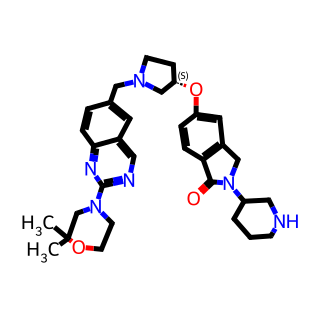 CC1(C)CN(c2ncc3cc(CN4CC[C@H](Oc5ccc6c(c5)CN(C5CCCNC5)C6=O)C4)ccc3n2)CCO1